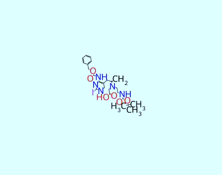 C=C(Cc1cnc(I)nc1NC(=O)OCc1ccccc1)N(CCNC(=O)OC(C)(C)C)CC(=O)O